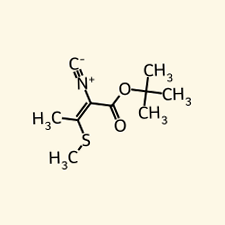 [C-]#[N+]/C(C(=O)OC(C)(C)C)=C(\C)SC